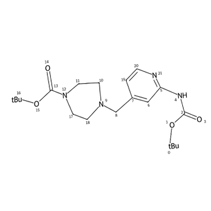 CC(C)(C)OC(=O)Nc1cc(CN2CCN(C(=O)OC(C)(C)C)CC2)ccn1